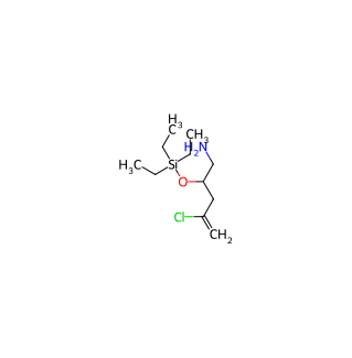 C=C(Cl)CC(CN)O[Si](CC)(CC)CC